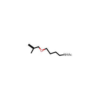 C=C(C)COCCCCNC(C)=O